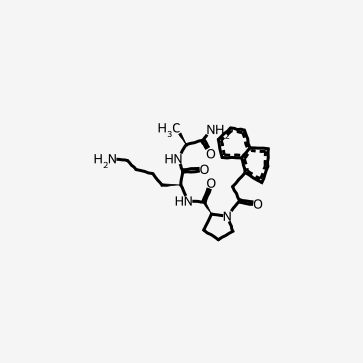 C[C@H](NC(=O)[C@H](CCCCN)NC(=O)[C@@H]1CCCN1C(=O)Cc1cccc2ccccc12)C(N)=O